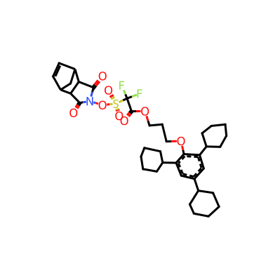 O=C1C2C3C=CC(C3)C2C(=O)N1OS(=O)(=O)C(F)(F)C(=O)OCCCOc1c(C2CCCCC2)cc(C2CCCCC2)cc1C1CCCCC1